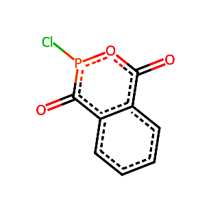 O=c1op(Cl)c(=O)c2ccccc12